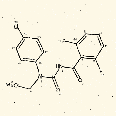 COCN(C(=O)NC(=O)c1c(F)cccc1F)c1ccc(Cl)cc1